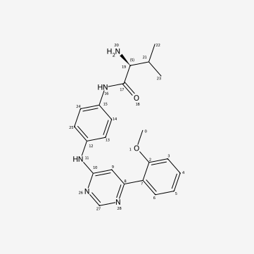 COc1ccccc1-c1cc(Nc2ccc(NC(=O)[C@@H](N)C(C)C)cc2)ncn1